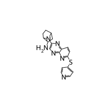 NC1CC2CCC1N2c1cnc2nc(Sc3ccncc3)ccc2n1